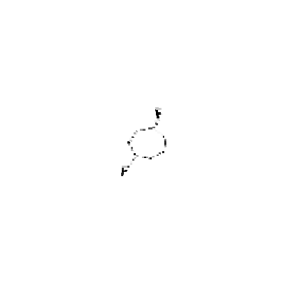 F[C]1CCCC(F)CC1